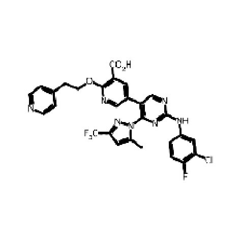 Cc1cc(C(F)(F)F)nn1-c1nc(Nc2ccc(F)c(Cl)c2)ncc1-c1cnc(OCCc2ccncc2)c(C(=O)O)c1